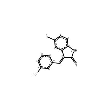 O=C1Nc2ccc(Cl)cc2C1=Cc1cccc(C(F)(F)F)c1